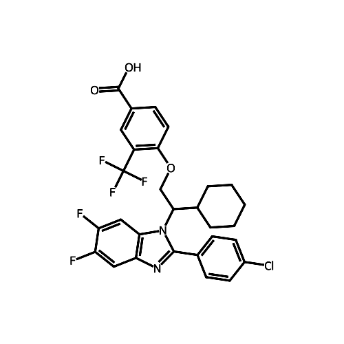 O=C(O)c1ccc(OCC(C2CCCCC2)n2c(-c3ccc(Cl)cc3)nc3cc(F)c(F)cc32)c(C(F)(F)F)c1